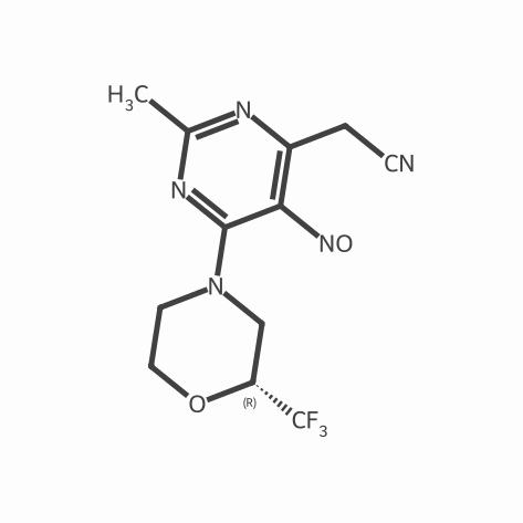 Cc1nc(CC#N)c(N=O)c(N2CCO[C@@H](C(F)(F)F)C2)n1